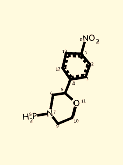 O=[N+]([O-])c1ccc(C2CN(P)CCO2)cc1